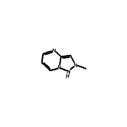 CN1C=C2N=CC=CN2N1